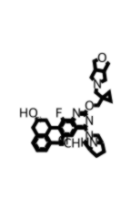 C#Cc1cccc2c1C(c1c(Cl)cc3c(N4CC5CCC(C4)N5)nc(OCC4(CN5CC6COCC6C5)CC4)nc3c1F)C[C@H](O)C2